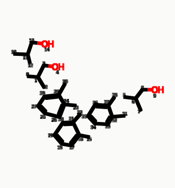 CC(C)CO.CC(C)CO.CC(C)CO.Cc1ccccc1C.Cc1ccccc1C.Cc1ccccc1C